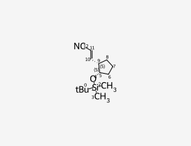 CC(C)(C)[Si](C)(C)O[C@H]1CCC[C@H]1C=CC#N